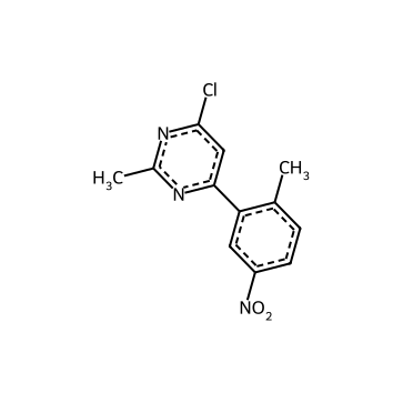 Cc1nc(Cl)cc(-c2cc([N+](=O)[O-])ccc2C)n1